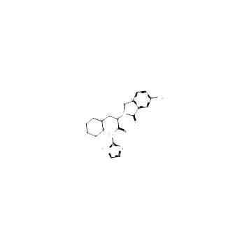 N=C1c2cc(S)ccc2CN1C(CC1CCCCC1)C(=O)Nc1nccs1